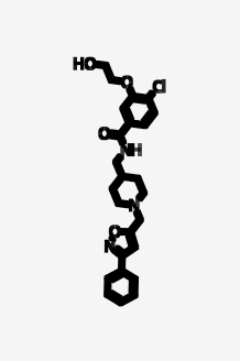 O=C(NCC1CCN(Cc2cc(-c3ccccc3)no2)CC1)c1ccc(Cl)c(OCCO)c1